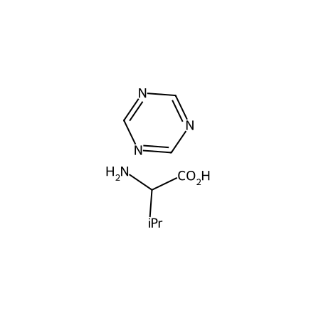 CC(C)C(N)C(=O)O.c1ncncn1